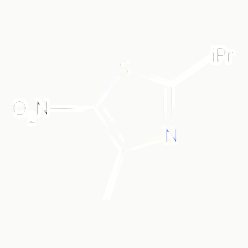 Cc1nc(C(C)C)sc1[N+](=O)[O-]